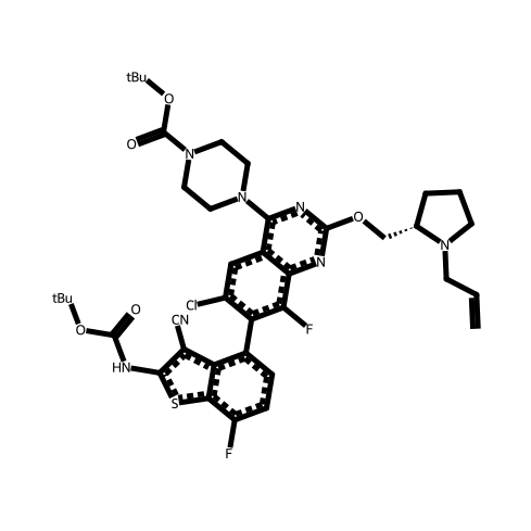 C=CCN1CCC[C@H]1COc1nc(N2CCN(C(=O)OC(C)(C)C)CC2)c2cc(Cl)c(-c3ccc(F)c4sc(NC(=O)OC(C)(C)C)c(C#N)c34)c(F)c2n1